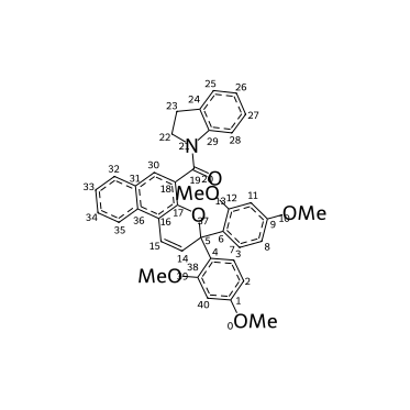 COc1ccc(C2(c3ccc(OC)cc3OC)C=Cc3c(c(C(=O)N4CCc5ccccc54)cc4ccccc34)O2)c(OC)c1